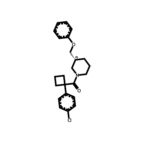 O=C(N1CCC[C@@H](COc2ccccc2)C1)C1(c2ccc(Cl)cc2)CCC1